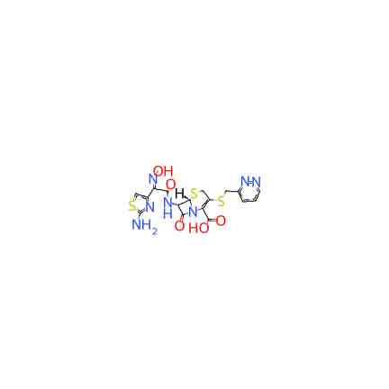 Nc1nc(/C(=N/O)C(=O)N[C@@H]2C(=O)N3C(C(=O)O)=C(SCc4cccnn4)CS[C@@H]23)cs1